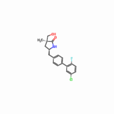 C[C@@]1(CO)C[C@H](Cc2ccc(-c3cc(Cl)ccc3F)cc2)NC1=O